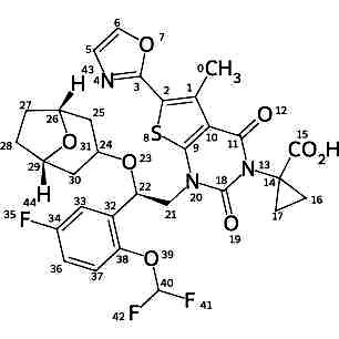 Cc1c(-c2ncco2)sc2c1c(=O)n(C1(C(=O)O)CC1)c(=O)n2C[C@H](OC1C[C@H]2CC[C@@H](C1)O2)c1cc(F)ccc1OC(F)F